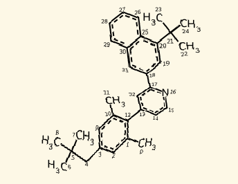 Cc1cc(CC(C)(C)C)cc(C)c1-c1ccnc(-c2cc(C(C)(C)C)c3ccccc3c2)c1